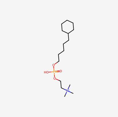 C[N+](C)(C)CCOP(=O)(O)OCCCCCC1CCCCC1